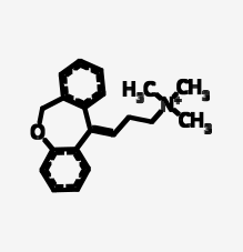 C[N+](C)(C)CC/C=C1\c2ccccc2COc2ccccc21